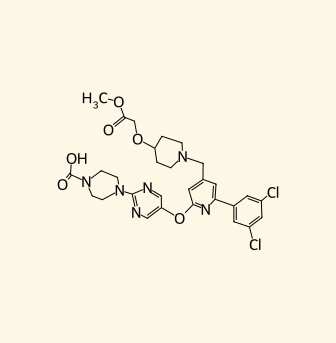 COC(=O)COC1CCN(Cc2cc(Oc3cnc(N4CCN(C(=O)O)CC4)nc3)nc(-c3cc(Cl)cc(Cl)c3)c2)CC1